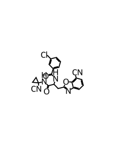 N#Cc1cccc2nc(CC(NC(=O)c3cccc(Cl)c3)C(=O)NC3(C#N)CC3)oc12